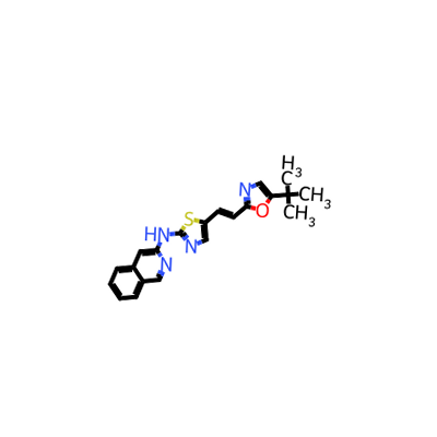 CC(C)(C)c1cnc(/C=C/c2cnc(Nc3cc4ccccc4cn3)s2)o1